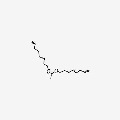 C=CCCCCCCOC(C)OCCCCCCC=C